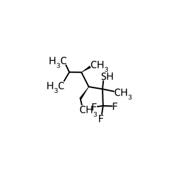 CC[C@@H]([C@H](C)C(C)C)C(C)(S)C(F)(F)F